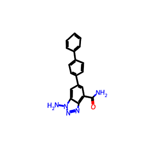 NC(=O)c1cc(-c2ccc(-c3ccccc3)cc2)cc2c1nnn2N